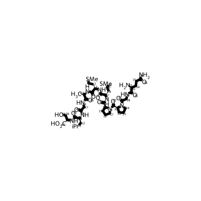 CSCC[C@H](NC(=O)[C@H](CCSC)NC(=O)[C@@H]1CCCN1C(=O)[C@@H]1CCCN1C(=O)CNC(=O)[C@@H](N)CCC(N)=O)C(=O)N[C@@H](C)C(=O)NCC(=O)N[C@@H](CC(C)C)C(=O)N[C@@H](CO)C(=O)O